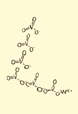 [O]=[V](=[O])[O-].[O]=[V](=[O])[O-].[O]=[V](=[O])[O-].[O]=[V](=[O])[O-].[O]=[V](=[O])[O-].[O]=[V](=[O])[O-].[W+6]